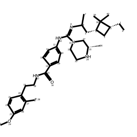 CC[C@@H]1C[C@H](CC(C)/N=C(/Nc2ccc(C(=O)NCCc3ccc(OC)cc3F)cc2)N2CCN[C@@H](C)C2)C1(C)C